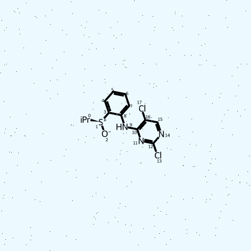 CC(C)[S@+]([O-])c1ccccc1Nc1nc(Cl)ncc1Cl